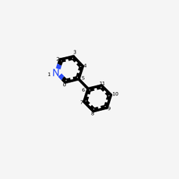 [c]1ncccc1-c1ccccc1